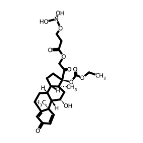 CCOC(=O)O[C@]1(C(=O)COC(=O)CCON(O)O)CC[C@H]2[C@@H]3CCC4=CC(=O)C=C[C@]4(C)[C@H]3[C@@H](O)C[C@@]21C